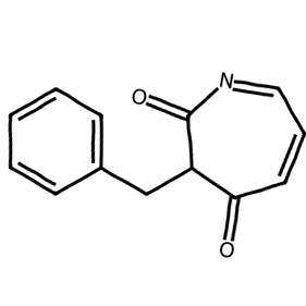 O=C1C=CC=NC(=O)C1Cc1ccccc1